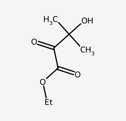 CCOC(=O)C(=O)C(C)(C)O